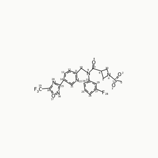 CS(=O)(=O)N1CC(C(=O)N(Cc2ccc(-c3noc(C(F)(F)F)n3)cn2)c2cccc(F)c2)C1